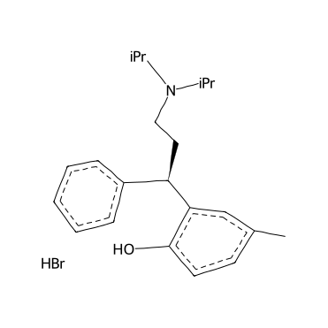 Br.Cc1ccc(O)c([C@H](CCN(C(C)C)C(C)C)c2ccccc2)c1